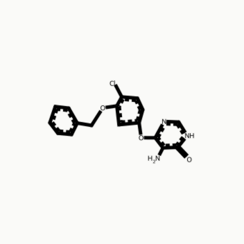 Nc1c(Oc2ccc(Cl)c(OCc3ccccc3)c2)nc[nH]c1=O